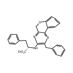 CCOC(=O)[C@H](Cc1ccccc1)Nc1nc2c(nc1Cc1ccccc1)-c1ccccc1OC2